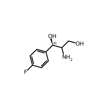 NC(CO)[C@H](O)c1ccc(F)cc1